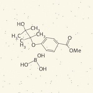 COC(=O)c1ccc(OC(C)(C)C(C)(C)O)cc1.OB(O)O